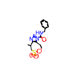 CC1CS(=O)(=O)OCCc2c1nnn2C(=O)NCc1ccccc1